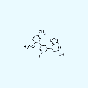 COc1ccc(C)cc1-c1cc(F)cc(C(CC(=O)O)c2ncco2)c1